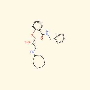 O=C(NCc1ccccc1)c1ccccc1OCC(O)CNC1CCCCCCC1